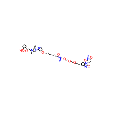 Cn1c(=O)n(C2CCC(=O)NC2=O)c2ccc(CCCOCCOCCOCCNC(=O)CCCCCCCCOc3ccnc(N4C[C@H]5C[C@@H]4CN5/C=C/C(=O)c4ccccc4O)c3)cc21